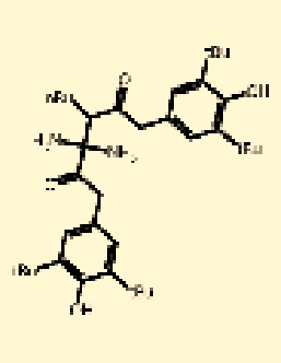 CCCCC(C(=O)Cc1cc(C(C)(C)C)c(O)c(C(C)(C)C)c1)C(N)(N)C(=O)Cc1cc(C(C)(C)C)c(O)c(C(C)(C)C)c1